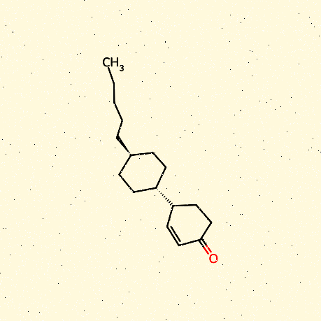 CCCCC[C@H]1CC[C@H](C2C=CC(=O)CC2)CC1